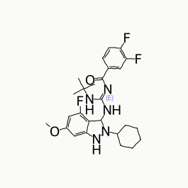 COc1cc(F)c2c(c1)NN(C1CCCCC1)C2N/C(=N/C(=O)c1ccc(F)c(F)c1)NC(C)(C)C